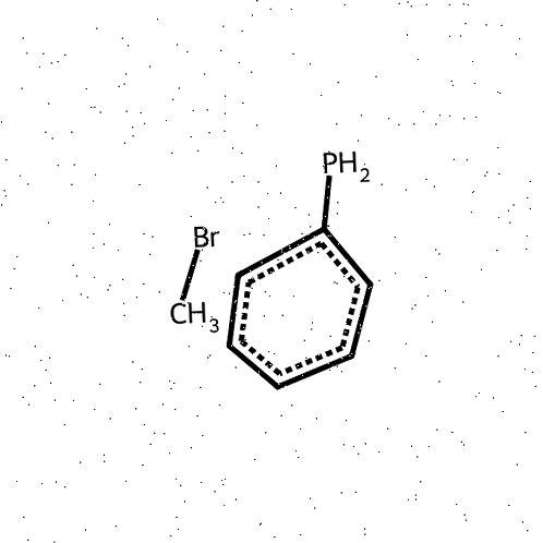 CBr.Pc1ccccc1